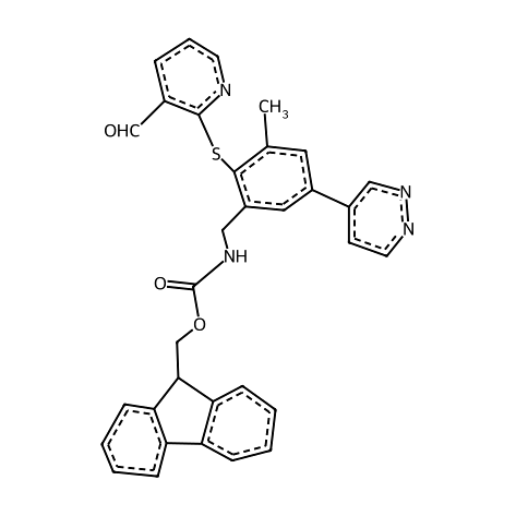 Cc1cc(-c2ccnnc2)cc(CNC(=O)OCC2c3ccccc3-c3ccccc32)c1Sc1ncccc1C=O